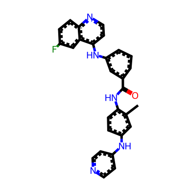 Cc1cc(Nc2ccncc2)ccc1NC(=O)c1cccc(Nc2ccnc3ccc(F)cc23)c1